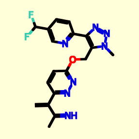 C=C(C(C)=N)c1ccc(OCc2c(-c3ccc(C(F)F)cn3)nnn2C)nn1